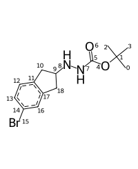 CC(C)(C)OC(=O)NNC1Cc2ccc(Br)cc2C1